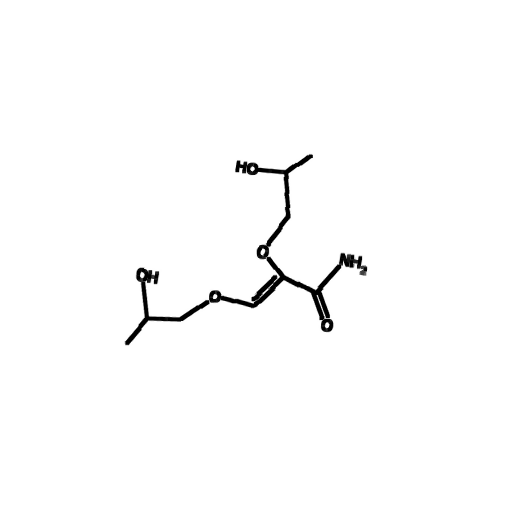 CC(O)COC=C(OCC(C)O)C(N)=O